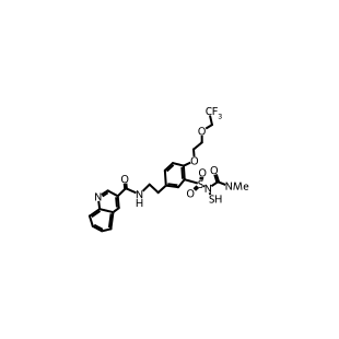 CNC(=O)N(S)S(=O)(=O)c1cc(CCNC(=O)c2cnc3ccccc3c2)ccc1OCCOCC(F)(F)F